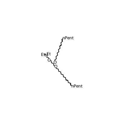 CCCCCC=CCC=CCCCCCCCCOCC(CCOCCN(CC)CC)OCCCCCCCCC=CCC=CCCCCC